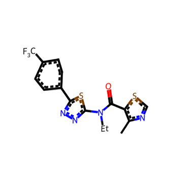 CCN(C(=O)c1scnc1C)c1nnc(-c2ccc(C(F)(F)F)cc2)s1